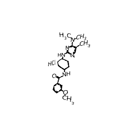 COc1cccc(C(=O)NC2CCC(Nc3ncc(C)c(N(C)C)n3)CC2)c1.Cl